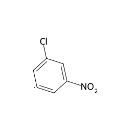 O=[N+]([O-])c1c[c]cc(Cl)c1